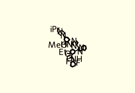 CCOc1ccc(-c2nc3ccccn3c2-c2ccnc(Nc3ccc(N4CCN(C(C)C)CC4)cc3OC)n2)cc1C(=O)Nc1c(F)cccc1F